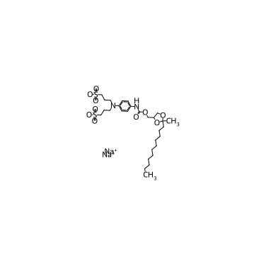 CCCCCCCCCCCC1(C)OCC(COC(=O)Nc2ccc(N(CCCS(=O)(=O)[O-])CCCS(=O)(=O)[O-])cc2)O1.[Na+].[Na+]